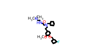 COc1cc(CCN(CC(=O)NCCN(C)C)Cc2ccccc2)ccc1OCc1cccc(F)c1